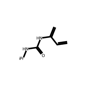 C=CC(=C)NC(=O)NC(C)C